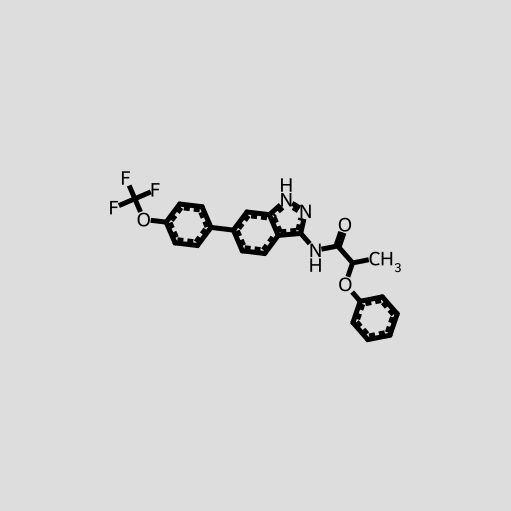 CC(Oc1ccccc1)C(=O)Nc1n[nH]c2cc(-c3ccc(OC(F)(F)F)cc3)ccc12